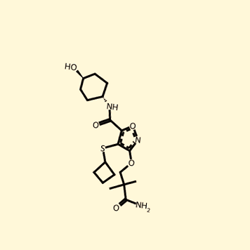 CC(C)(COc1noc(C(=O)N[C@H]2CC[C@H](O)CC2)c1SC1CCC1)C(N)=O